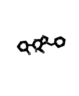 O=c1[nH]c(-c2ccccc2Cl)nc2ncn(Cc3ccccc3)c12